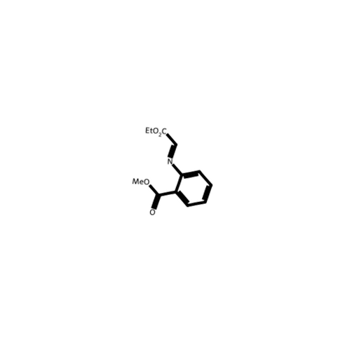 CCOC(=O)/C=N/c1ccccc1C(=O)OC